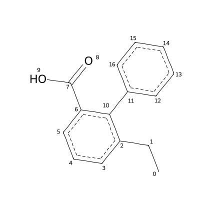 CCc1cccc(C(=O)O)c1-c1ccccc1